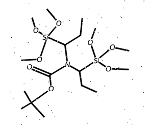 CCC(N(C(=O)OC(C)(C)C)C(CC)[Si](OC)(OC)OC)[Si](OC)(OC)OC